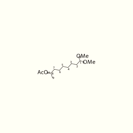 COC(CCCCCCC(C)OC(C)=O)OC